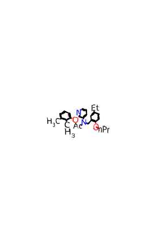 CCCOc1ccc(CC)cc1CN(C(C)=O)c1cccnc1Oc1cccc(C)c1C